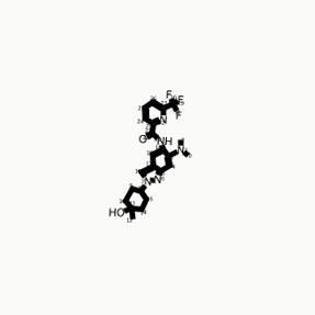 CN(C)c1cc2nn(C3CCC(C)(O)CC3)cc2cc1NC(=O)c1cccc(C(F)(F)F)n1